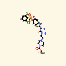 CC(C)(C)OC(=O)N1CCN(CCNC(=O)Nc2nc3ccc(OS(=O)(=O)c4c(Cl)cccc4Cl)cc3s2)CC1